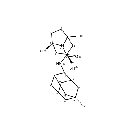 C[C@@H]1C[C@H]2CC[C@@H](C1)N2C(=O)N[C@H]1C2CC3CC1C[C@](C)(C3)C2